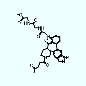 COC(=O)CNC(=O)CNC(=O)Cn1nc(C2CCN(C(=O)CCC(C)=O)CC2)c2c(-c3cc4c(cnn4C)cc3F)cccc21